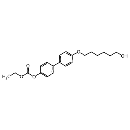 CCOC(=O)Oc1ccc(-c2ccc(OCCCCCCO)cc2)cc1